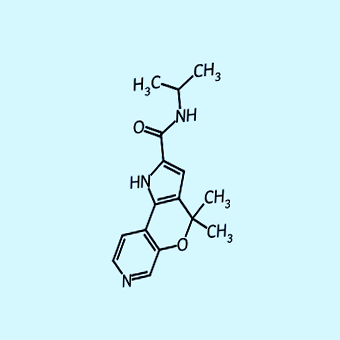 CC(C)NC(=O)c1cc2c([nH]1)-c1ccncc1OC2(C)C